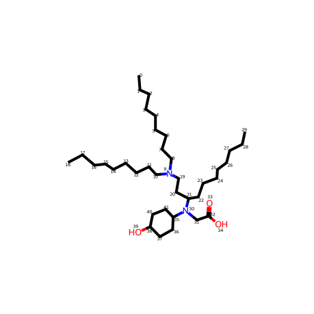 CCCCCCCCCN(CCCCCCCCC)CCC(CCCCCCCC)N(CC(=O)O)C1CCC(O)CC1